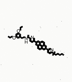 C=C(NCCc1cc(OCCC)cc(OCCC)c1)c1ccc(-c2cc3ccc4cc(-c5ccc(C(C)(C)CCCCC)nc5)cc5ccc(c2)c3c45)cn1